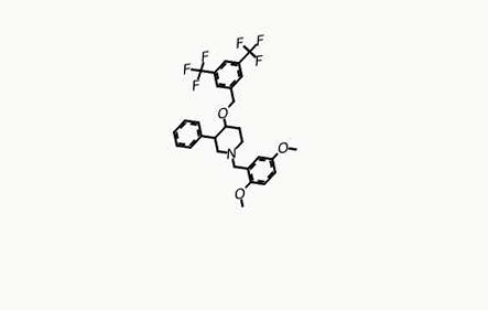 COc1ccc(OC)c(CN2CCC(OCc3cc(C(F)(F)F)cc(C(F)(F)F)c3)C(c3ccccc3)C2)c1